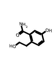 NC(=O)c1cc(O)ccc1[CH]CO